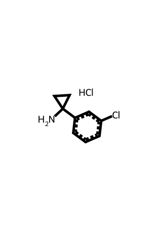 Cl.NC1(c2cccc(Cl)c2)CC1